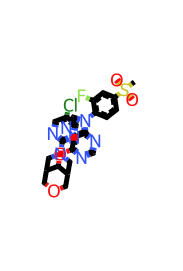 CS(=O)(=O)c1ccc(-n2cnc3c(OC4C5COCC4CN(c4ncc(Cl)cn4)C5)ncnc32)c(F)c1